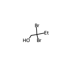 CCC(Br)(Br)CO